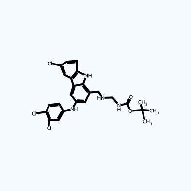 CC(C)(C)OC(=O)NCNCc1cc(Nc2ccc(Cl)c(Cl)c2)cc2c1[nH]c1ccc(Cl)cc12